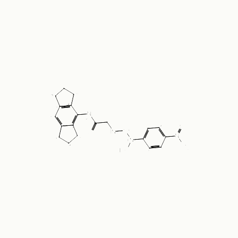 O=C(CNSN(O)c1ccc([N+](=O)[O-])cc1)Nc1c2c(cc3c1CCC3)CCC2